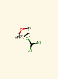 CC(C)OC(C)C.CCCCCC.ClC(Cl)Cl